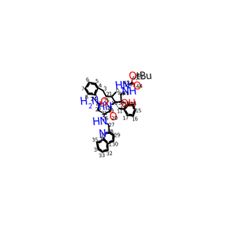 CC(CCc1ccccc1)[C@](Cc1ccccc1)(NC(=O)[C@H](CC(N)=O)NCc1ccc2ccccc2n1)[C@H](O)CNNC(=O)OC(C)(C)C